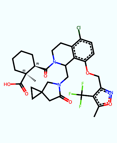 Cc1onc(COc2ccc(Cl)c3c2C(CN2CC4(CC4)CC2=O)N(C(=O)[C@@H]2CCCC[C@]2(C)C(=O)O)CC3)c1C(F)(F)F